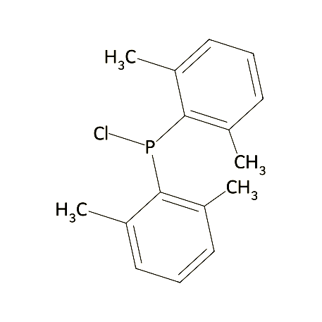 Cc1cccc(C)c1P(Cl)c1c(C)cccc1C